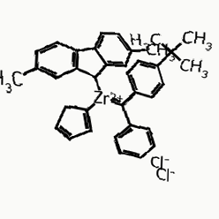 Cc1ccc2c(c1)[CH](/[Zr+2]([C]1=CC=CC1)=[C](/c1ccccc1)c1ccc(C(C)(C)C)cc1)c1cc(C)ccc1-2.[Cl-].[Cl-]